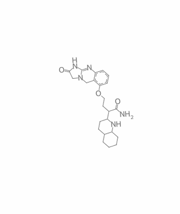 NC(=O)C(CCOc1cccc2c1CN1CC(=O)NC1=N2)C1CCC2CCCCC2N1